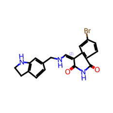 O=C1NC(=O)c2ccc(Br)cc2/C1=C/NCc1ccc2c(c1)NCC2